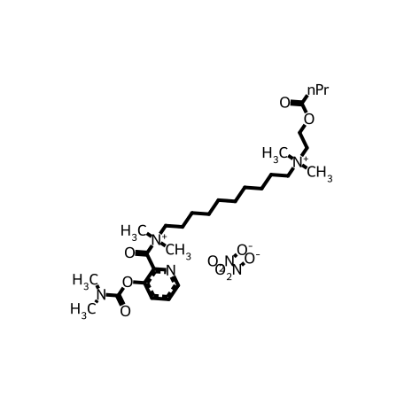 CCCC(=O)OCC[N+](C)(C)CCCCCCCCCC[N+](C)(C)C(=O)c1ncccc1OC(=O)N(C)C.O=[N+]([O-])[O-].O=[N+]([O-])[O-]